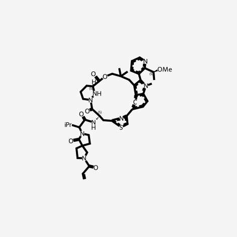 C=CC(=O)N1CCC2(CCN(C(C(=O)N[C@H]3Cc4nc(cs4)-c4ccc5c(c4)c(c(-c4cccnc4[C@H](C)OC)n5C)CC(C)(C)COC(=O)[C@@H]4CCCN(N4)C3=O)C(C)C)C2=O)C1